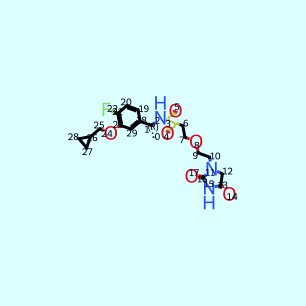 C[C@@H](NS(=O)(=O)CCOCCN1CC(=O)NC1=O)c1ccc(F)c(OCC2CC2)c1